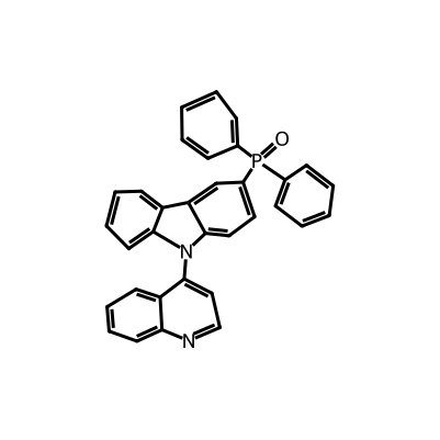 O=P(c1ccccc1)(c1ccccc1)c1ccc2c(c1)c1ccccc1n2-c1ccnc2ccccc12